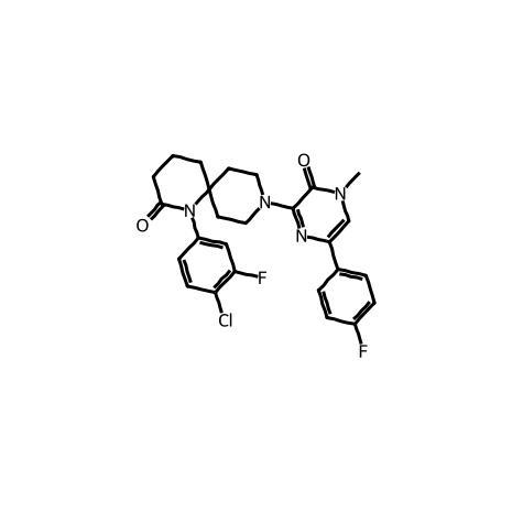 Cn1cc(-c2ccc(F)cc2)nc(N2CCC3(CCCC(=O)N3c3ccc(Cl)c(F)c3)CC2)c1=O